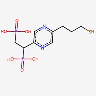 O=P(O)(O)CC(c1cnc(CCCS)cn1)P(=O)(O)O